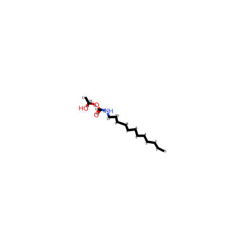 CCCCCCCCCCCCNC(=O)OC(C)O